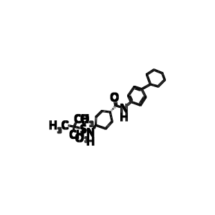 CC(C)(C)S(=O)(=O)N[C@H]1CC[C@H](C(=O)Nc2ccc(C3CCCCC3)cc2)CC1